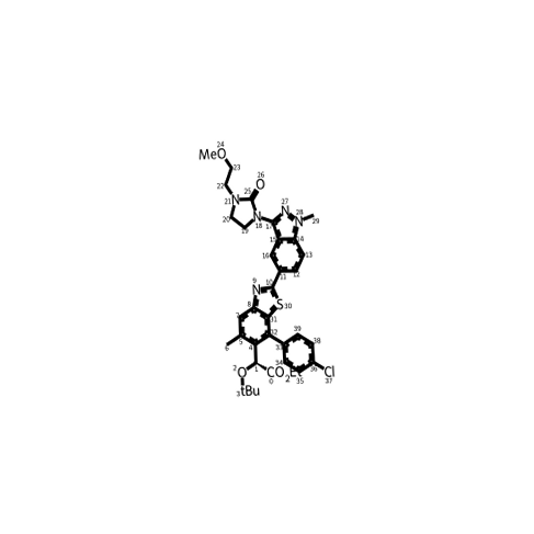 CCOC(=O)[C@@H](OC(C)(C)C)c1c(C)cc2nc(-c3ccc4c(c3)c(N3CCN(CCOC)C3=O)nn4C)sc2c1-c1ccc(Cl)cc1